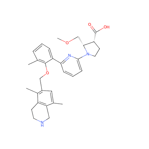 COC[C@@H]1[C@H](C(=O)O)CCN1c1cccc(-c2cccc(C)c2OCc2cc(C)c3c(c2C)CCNC3)n1